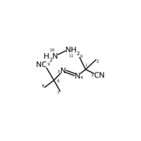 CC(C)(C#N)N=NC(C)(C)C#N.NN